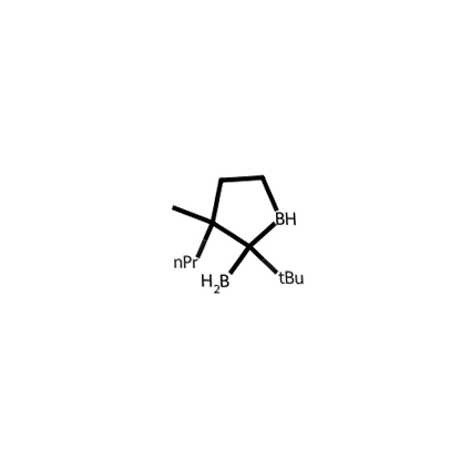 BC1(C(C)(C)C)BCCC1(C)CCC